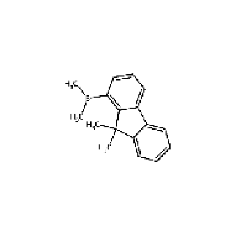 CB(C)c1cccc2c1C(C)(C)c1ccccc1-2